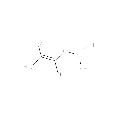 CC(=O)C(C)=C(C)O[SiH](C)C